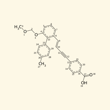 COCOc1cccc(/C=C/C#Cc2ccc(C(=O)O)cc2)c1-c1ccc(C)cc1